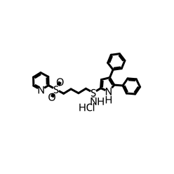 Cl.N=S(CCCCS(=O)(=O)c1ccccn1)c1cc(-c2ccccc2)c(-c2ccccc2)[nH]1